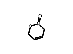 O=[N+]1CC=CCO1